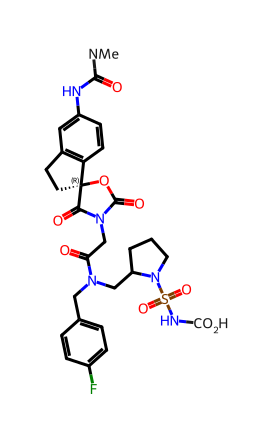 CNC(=O)Nc1ccc2c(c1)CC[C@@]21OC(=O)N(CC(=O)N(Cc2ccc(F)cc2)CC2CCCN2S(=O)(=O)NC(=O)O)C1=O